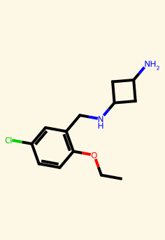 CCOc1ccc(Cl)cc1CNC1CC(N)C1